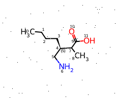 CCCC[C@H](CN)C(C)C(=O)O